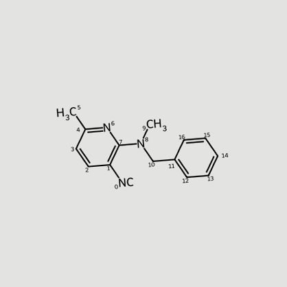 [C-]#[N+]c1ccc(C)nc1N(C)Cc1ccccc1